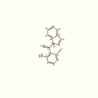 O=C(c1c(Cl)cccc1I)n1ccc2ccccc21